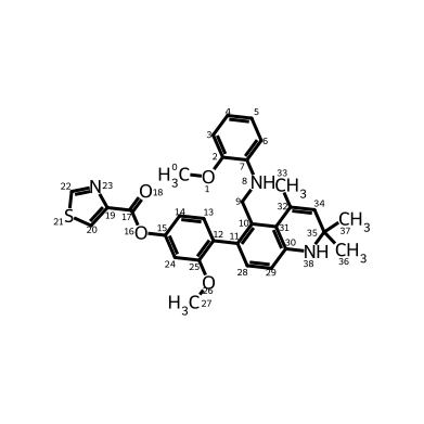 COc1ccccc1NCc1c(-c2ccc(OC(=O)c3cscn3)cc2OC)ccc2c1C(C)=CC(C)(C)N2